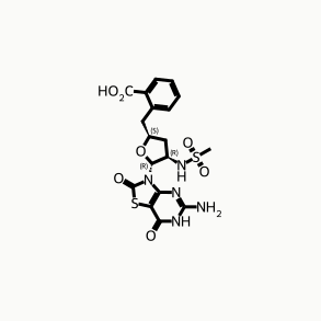 CS(=O)(=O)N[C@@H]1C[C@H](Cc2ccccc2C(=O)O)O[C@H]1n1c(=O)sc2c(=O)[nH]c(N)nc21